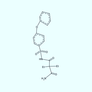 CCC(CC)(C(N)=O)C(=O)NS(=O)(=O)c1ccc(Oc2ccccc2)cc1